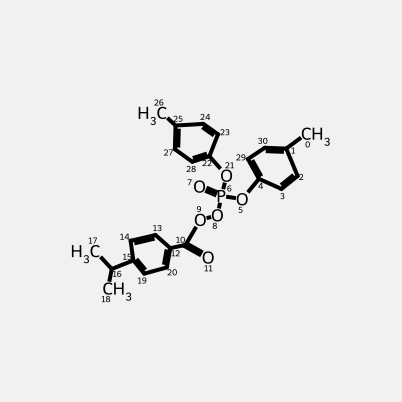 Cc1ccc(OP(=O)(OOC(=O)c2ccc(C(C)C)cc2)Oc2ccc(C)cc2)cc1